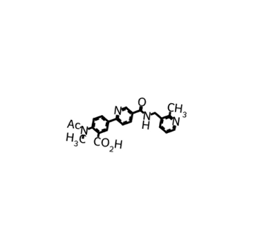 CC(=O)N(C)c1ccc(-c2ccc(C(=O)NCc3cccnc3C)cn2)cc1C(=O)O